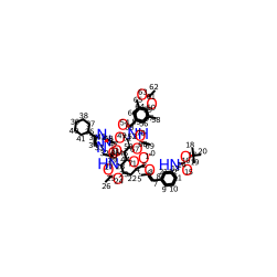 COC(=O)[C@@]1(C/C=C/c2cccc(NC(=O)OC(C)(C)C)c2)C[C@H](OC(C)=O)[C@@H](NC(=O)Cn2cc(C3CCCCC3)nn2)[C@H]([C@H](OC(C)=O)[C@@H](CNC(=O)c2cc(C)c(OC(C)=O)c(C)c2)OC(C)=O)O1